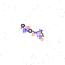 COc1cc(CC(=O)N(C)CC2=NC(C)C(CC(C)NC(C)=O)O2)ccc1NC(=O)Nc1ccccc1C